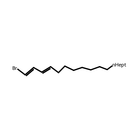 CCCCCCCCCCCCCCC=CC=CBr